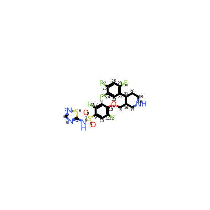 O=S(=O)(Nc1ncns1)c1cc(F)c(OCC2CNCCC2c2cc(F)c(F)cc2F)cc1F